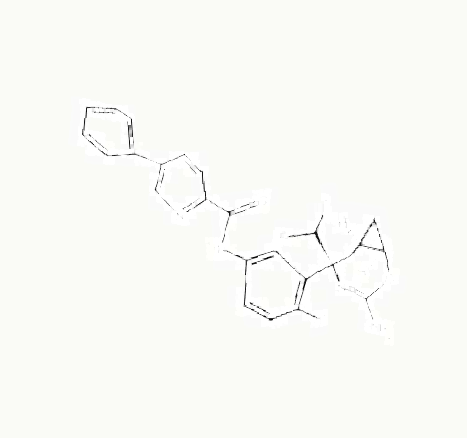 NC1=N[C@@](c2cc(NC(=O)c3ccc(-c4ccccc4)cn3)ccc2F)(C(F)F)[C@H]2C[C@H]2O1